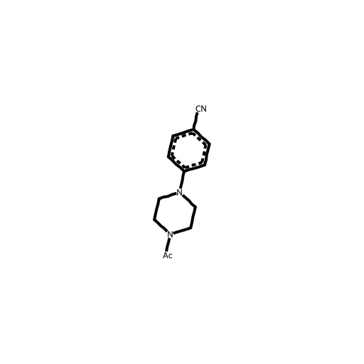 CC(=O)N1CCN(c2ccc(C#N)cc2)CC1